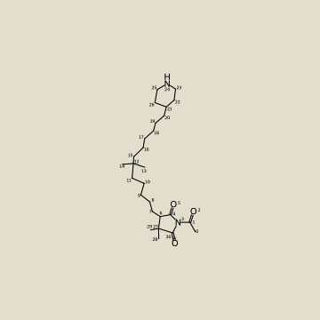 CC(=O)N1C(=O)C(CCCCCC(C)(C)CCCCCCC2CCNCC2)C(C)(C)C1=O